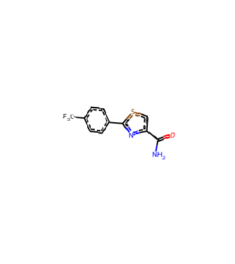 NC(=O)c1csc(-c2ccc(C(F)(F)F)cc2)n1